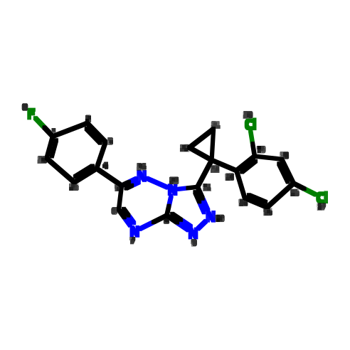 Fc1ccc(-c2cnc3nnc(C4(c5ccc(Cl)cc5Cl)CC4)n3n2)cc1